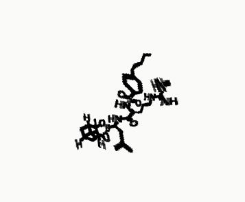 CCCCc1ccc(S(=O)(=O)N[C@@H](CCCNC(=N)NC)C(=O)N[C@@H](CC(C)C)B2O[C@@H]3C[C@@H]4C[C@@H](C4(C)C)[C@]3(C)O2)cc1